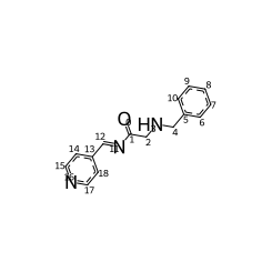 O=C(CNCc1ccccc1)/N=C/c1ccncc1